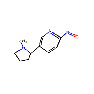 CN1CCCC1c1ccc(N=O)nc1